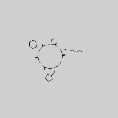 CCC[C@H]1C(=O)N[C@@H](C2CCCCC2)C(=O)N[C@@H](CN)C(=O)N[C@@H](COCCCN)C(=O)NC[C@H](C)N(CC2CCCC2)[C@@H](C)C(=O)N1C